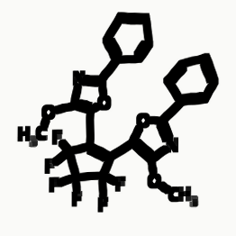 COc1nc(-c2ccccc2)oc1C1=C(c2oc(-c3ccccc3)nc2OC)C(F)(F)C(F)(F)C1(F)F